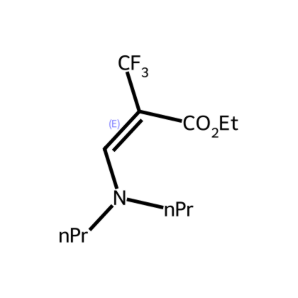 CCCN(/C=C(\C(=O)OCC)C(F)(F)F)CCC